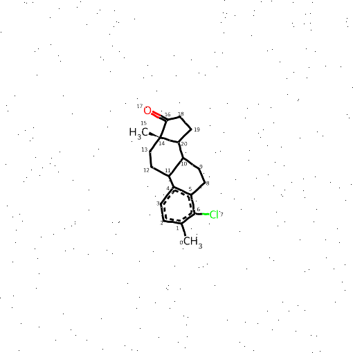 Cc1ccc2c(c1Cl)CCC1C2CC[C@]2(C)C(=O)CCC12